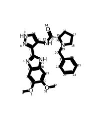 COc1cc2nc(-c3n[nH]cc3NC(=O)[C@@H]3CCCN3Cc3ccccc3)[nH]c2cc1OC